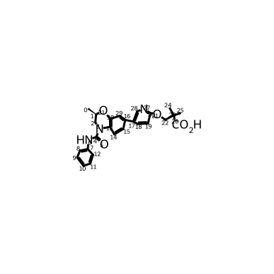 C[C@@H]1CN(C(=O)Nc2ccccc2)c2ccc(-c3ccc(OCC(C)(C)C(=O)O)nc3)cc2O1